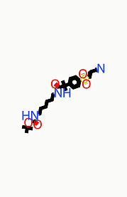 CC(C)(C)OC(=O)NCCCCCCNC(=O)C(C)(C)c1ccc(S(=O)(=O)C=CC#N)cc1